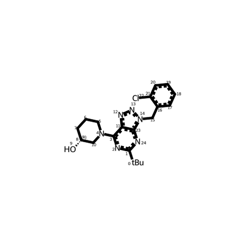 CC(C)(C)c1nc(N2CCC[C@@H](O)C2)c2nnn(Cc3ccccc3Cl)c2n1